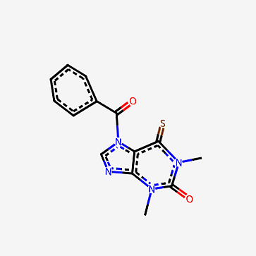 Cn1c(=S)c2c(ncn2C(=O)c2ccccc2)n(C)c1=O